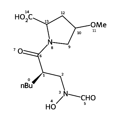 CCCC[C@H](CN(O)C=O)C(=O)N1CC(OC)CC1C(=O)O